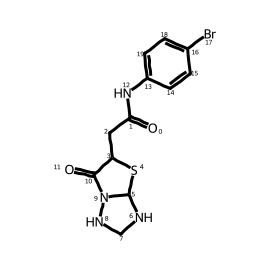 O=C(CC1SC2NCNN2C1=O)Nc1ccc(Br)cc1